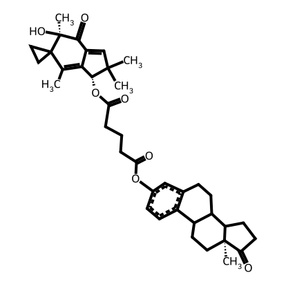 CC1=C2C(=CC(C)(C)[C@@H]2OC(=O)CCCC(=O)Oc2ccc3c(c2)CCC2C3CC[C@]3(C)C(=O)CCC23)C(=O)[C@](C)(O)C12CC2